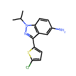 CC(C)n1nc(-c2ccc(Cl)s2)c2cc(N)ccc21